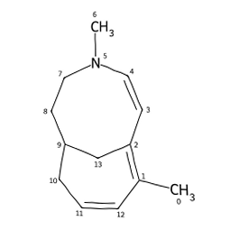 CC1=C2/C=C\N(C)CCC(CC=C1)C2